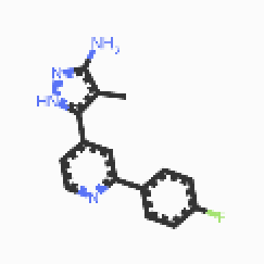 Cc1c(N)n[nH]c1-c1ccnc(-c2ccc(F)cc2)c1